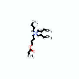 C=CC(=O)OCCCC[N+](CCCC)(CCCC)CCCC